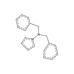 c1ccc(CN(Cc2ccccc2)n2cccc2)cc1